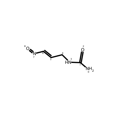 NC(=O)NCC=CN=O